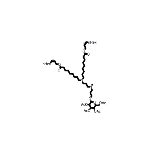 CCCCCC/C=C\COC(=O)CCCCCCCCN(CCCCCCCCC(=O)OC/C=C\CCCCCC)CCCN(C)CCCOC1OC(COC(C)=O)C(OC(C)=O)C(OC(C)=O)C1OC(C)=O